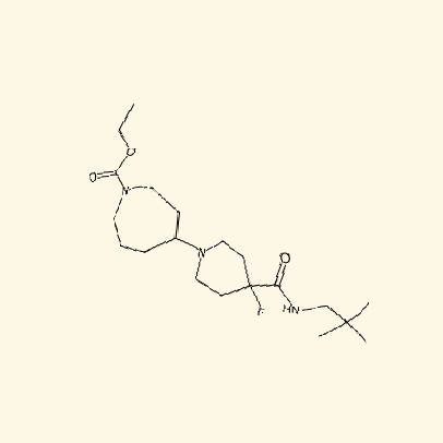 CCOC(=O)N1CCCC(N2CCC(F)(C(=O)NCC(C)(C)C)CC2)CC1